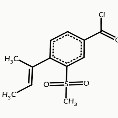 CC=C(C)c1ccc(C(=O)Cl)cc1S(C)(=O)=O